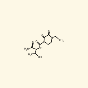 CCN1CCN(C(=O)NC(C(N)=O)C(C)O)C(=O)C1=O